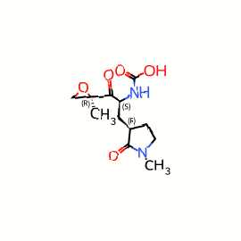 CN1CC[C@H](C[C@H](NC(=O)O)C(=O)[C@@]2(C)CO2)C1=O